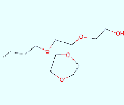 C1COCCO1.CCCCOCCOCCO